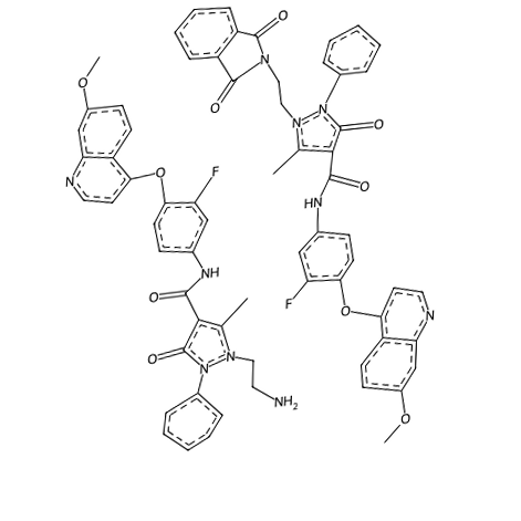 COc1ccc2c(Oc3ccc(NC(=O)c4c(C)n(CCN)n(-c5ccccc5)c4=O)cc3F)ccnc2c1.COc1ccc2c(Oc3ccc(NC(=O)c4c(C)n(CCN5C(=O)c6ccccc6C5=O)n(-c5ccccc5)c4=O)cc3F)ccnc2c1